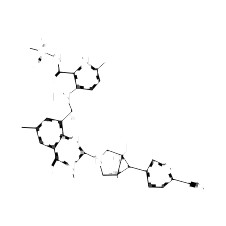 Cc1cc([C@@H](C)Nc2ccc(Cl)nc2C(=O)NS(C)(=O)=O)c2nc(N3C[C@@H]4C(c5ccc(C#N)nc5)[C@@H]4C3)n(C)c(=O)c2c1